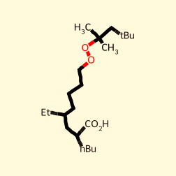 CCCCC(CC(CC)CCCCOOC(C)(C)CC(C)(C)C)C(=O)O